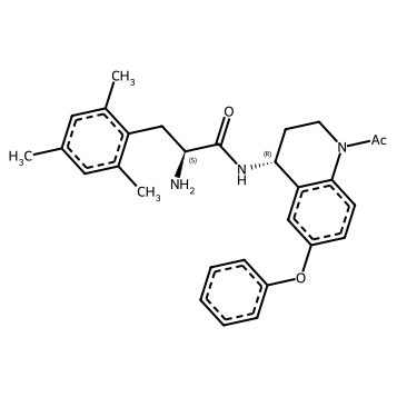 CC(=O)N1CC[C@@H](NC(=O)[C@@H](N)Cc2c(C)cc(C)cc2C)c2cc(Oc3ccccc3)ccc21